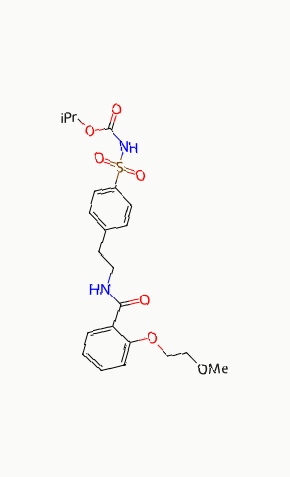 COCCOc1ccccc1C(=O)NCCc1ccc(S(=O)(=O)NC(=O)OC(C)C)cc1